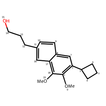 COc1c(C2CCC2)cc2ccc(CCCO)cc2c1OC